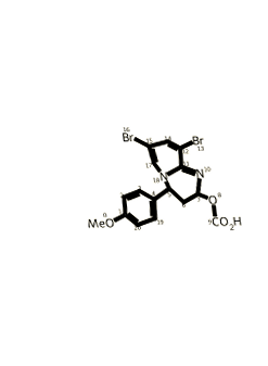 COc1ccc(C2CC(OC(=O)O)N=C3C(Br)=CC(Br)=CN32)cc1